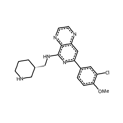 COc1ccc(-c2cc3nccnc3c(NC[C@H]3CCCNC3)n2)cc1Cl